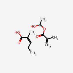 C=C(C)C(=O)OC(C)O.CCC=C(C)C(=O)O